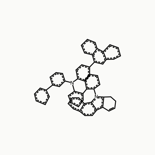 C1=Cc2c(n(-c3ccccc3-c3ccccc3N(c3ccc(-c4cc5ccccc5c5ccccc45)cc3)c3cccc(-c4ccccc4)c3)c3c2ccc2ccccc23)CC1